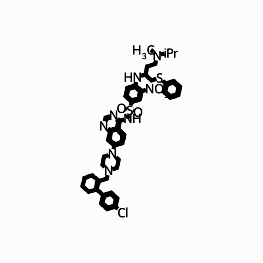 CC(C)N(C)CCC(CSc1ccccc1)Nc1ccc(S(=O)(=O)Nc2ncnc3cc(N4CCN(CC5=C(c6ccc(Cl)cc6)CCCC5)CC4)ccc23)cc1[N+](=O)[O-]